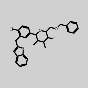 CC1C(c2ccc(Cl)c(Cc3cc4ccccc4s3)c2)OC(COCc2ccccc2)C(F)C1C